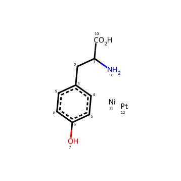 NC(Cc1ccc(O)cc1)C(=O)O.[Ni].[Pt]